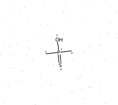 CP(C)(O)=S